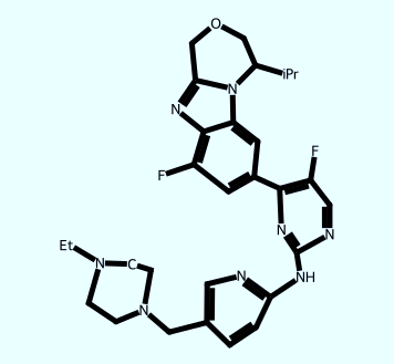 CCN1CCN(Cc2ccc(Nc3ncc(F)c(-c4cc(F)c5nc6n(c5c4)C(C(C)C)COC6)n3)nc2)CC1